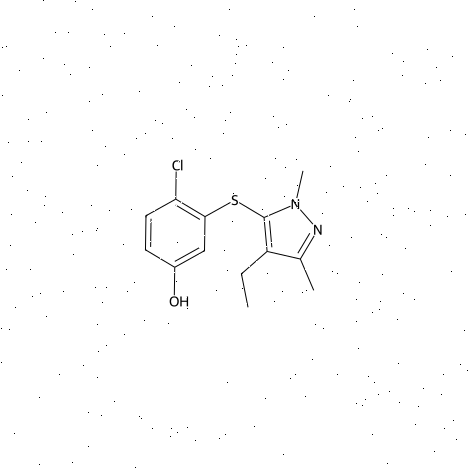 CCc1c(C)nn(C)c1Sc1cc(O)ccc1Cl